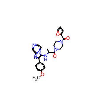 CC(Nc1c(-c2ccc(OC(F)(F)F)cc2)nc2cnccn12)C(=O)N1CCN(C(=O)c2ccco2)CC1